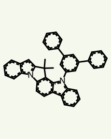 CC1(C)c2c(ccc3c4ccccc4n(-c4cc(-c5ccccc5)cc(-c5ccccc5)c4)c23)-n2c1cc1ccccc12